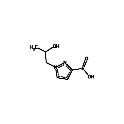 CC(O)Cn1ccc(S(=O)O)n1